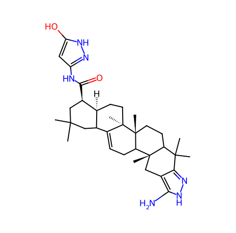 CC1(C)CC2C3=CCC4[C@@]5(C)Cc6c(n[nH]c6N)C(C)(C)C5CC[C@@]4(C)[C@]3(C)CC[C@@H]2[C@H](C(=O)Nc2cc(O)[nH]n2)C1